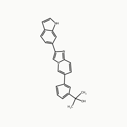 CC(C)(O)c1cccc(-c2ccc3nc(-c4ccc5cc[nH]c5c4)cn3c2)c1